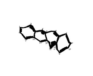 [c]1[c]cc2cc3cc4ccccc4cc3cc2[c]1